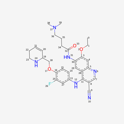 CCOc1cc2ncc(C#N)c(Nc3ccc(OCC4C=CCCN4)c(F)c3)c2cc1NC(=O)CCCN(C)C